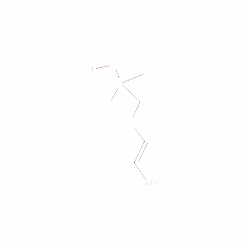 CCCCC=COC[Si](C)(C)OCC